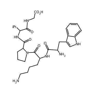 CC(C)C(NC(=O)C1CCCN1C(=O)C(CCCCN)NC(=O)C(N)Cc1c[nH]c2ccccc12)C(=O)NCC(=O)O